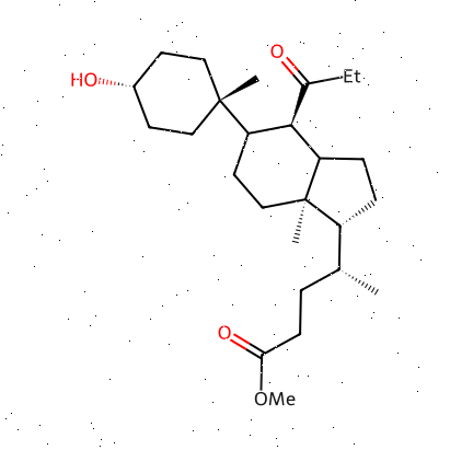 CCC(=O)[C@H]1C2CC[C@H]([C@H](C)CCC(=O)OC)[C@@]2(C)CCC1[C@]1(C)CC[C@H](O)CC1